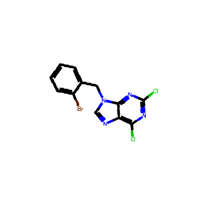 Clc1nc(Cl)c2ncn(Cc3ccccc3Br)c2n1